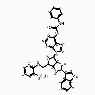 O=C(Nc1ccccc1)Nc1ncnc2c1ncn2C1OC(COc2ncccc2C(=O)O)C2OC(c3csc4ccccc34)OC21